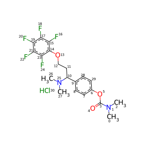 CN(C)C(=O)Oc1ccc(C(CCOc2c(F)c(F)c(F)c(F)c2F)N(C)C)cc1.Cl